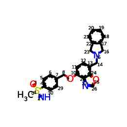 CS(=N)(=O)c1ccc(COc2ccc(CN3Cc4ccccc4C3)c3ocnc23)cc1